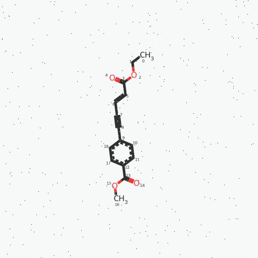 CCOC(=O)/C=C/C#Cc1ccc(C(=O)OC)cc1